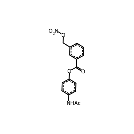 CC(=O)Nc1ccc(OC(=O)c2cccc(CO[N+](=O)[O-])c2)cc1